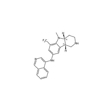 CN1c2c(cc(Nc3cncc4ccccc34)cc2C(F)(F)F)[C@H]2CNCC[C@H]21